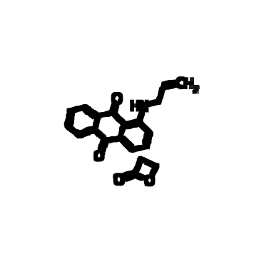 C=CCNc1cccc2c1C(=O)c1ccccc1C2=O.O=C1CCO1